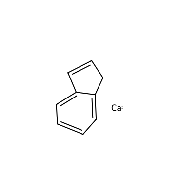 C1=Cc2ccccc2C1.[Ca]